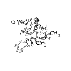 C=CCC(NS(=O)(=O)c1ccc([N+](=O)[O-])cc1)c1cc(OCCCC)c(C(=O)Oc2ccccc2)c(C)c1C(F)(F)F